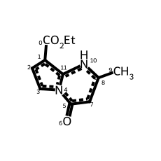 CCOC(=O)c1ccn2c(=O)cc(C)[nH]c12